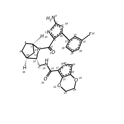 Nc1nc(C(=O)N2[C@@H]3CC[C@@H](C3)[C@H]2CNC(=O)c2scc3c2OCCO3)c(-c2cccc(F)c2)s1